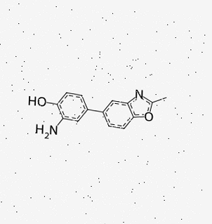 Cc1nc2cc(-c3ccc(O)c(N)c3)ccc2o1